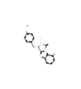 COc1ccc(C[C@H]2NC(=O)n3c2nc2cccc(F)c23)cc1